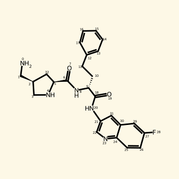 NC[C@@H]1CN[C@H](C(=O)N[C@H](CCc2ccccc2)C(=O)Nc2cnc3ccc(F)cc3c2)C1